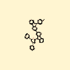 Cc1ccc(-n2c3ccccc3c3ccc(-c4ccc5c6ccccc6n(-c6nc(-c7ccccc7)cc(-c7ccccc7)n6)c5c4)cc32)cc1